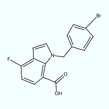 O=C(O)c1ccc(F)c2ccn(Cc3ccc(Br)cc3)c12